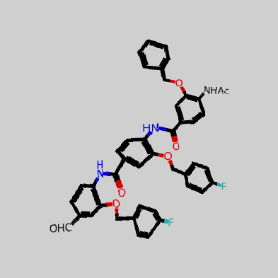 CC(=O)Nc1ccc(C(=O)Nc2ccc(C(=O)Nc3ccc(C=O)cc3OCc3ccc(F)cc3)cc2OCc2ccc(F)cc2)cc1OCc1ccccc1